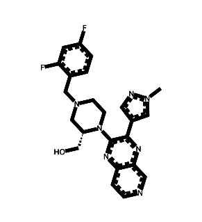 Cn1cc(-c2nc3cnccc3nc2N2CCN(Cc3ccc(F)cc3F)C[C@H]2CO)cn1